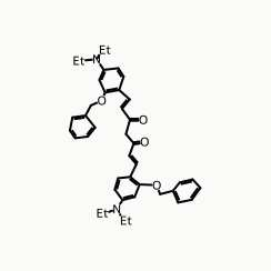 CCN(CC)c1ccc(/C=C/C(=O)CC(=O)/C=C/c2ccc(N(CC)CC)cc2OCc2ccccc2)c(OCc2ccccc2)c1